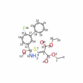 CCOC(=O)C(=CSC(N)(OC)c1ccc(F)c(-c2ccccc2)c1)C(=O)OCC